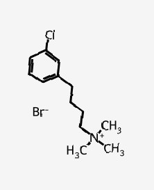 C[N+](C)(C)CCCCc1cccc(Cl)c1.[Br-]